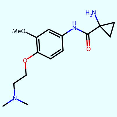 COc1cc(NC(=O)C2(N)CC2)ccc1OCCN(C)C